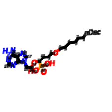 CCCCCCCCCCCCCCCCOCCC[C@H](O[C@H](C)Cn1cnc2c(N)ncnc21)P(=O)(O)O